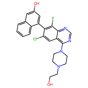 OCCN1CCN(c2ncnc3c(F)c(-c4cc(O)cc5ccccc45)c(Cl)cc23)CC1